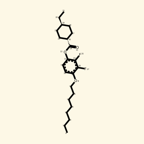 CCCCCCCCOc1ccc(OC(=O)[C@H]2CC[C@H](CC)CC2)c(F)c1F